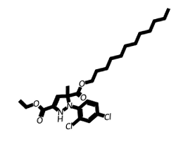 CCCCCCCCCCCCOC(=O)C1(C)C=C(C(=O)OCC)NN1c1ccc(Cl)cc1Cl